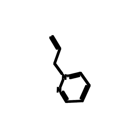 C=CC[n+]1ccccn1